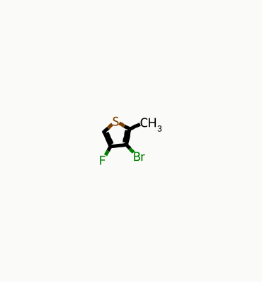 Cc1scc(F)c1Br